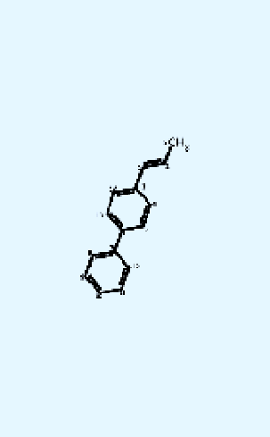 CC=Cc1ccc(-c2ccccc2)cc1